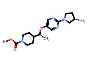 CC(C)OC(=O)N1CCC([C@H](C)Oc2cnc(N3CC[C@@H](N)C3)nc2)CC1